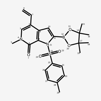 C=Cc1cn(C)c(=O)c2c1cc(B1OC(C)(C)C(C)(C)O1)n2S(=O)(=O)c1ccc(C)cc1